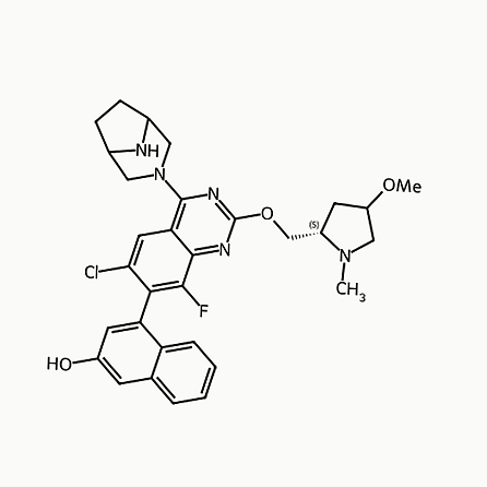 COC1C[C@@H](COc2nc(N3CC4CCC(C3)N4)c3cc(Cl)c(-c4cc(O)cc5ccccc45)c(F)c3n2)N(C)C1